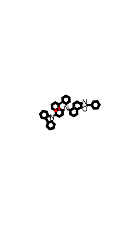 c1ccc(-c2nc3ccc4c(N(c5ccc(-n6c7ccccc7c7ccccc76)cc5)c5ccccc5-c5ccccc5)cccc4c3o2)cc1